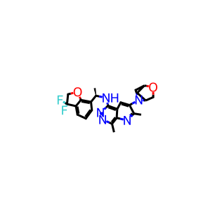 Cc1nc2c(C)nnc(N[C@H](C)c3cccc4c3OCC4(F)F)c2cc1N1CC2CC1CO2